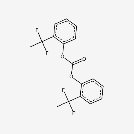 CC(F)(F)c1ccccc1OC(=O)Oc1ccccc1C(C)(F)F